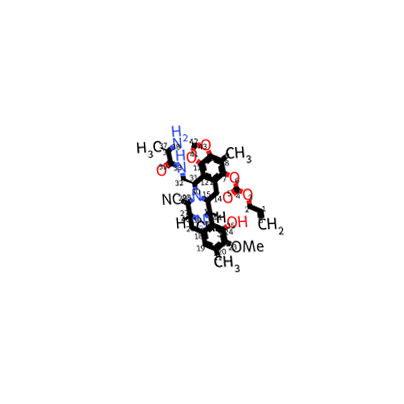 C=CCOC(=O)Oc1c(C)c2c(c3c1CC1[C@@H]4c5c(cc(C)c(OC)c5O)C[C@H](C(C#N)N1[C@H]3CNC(=O)[C@H](C)N)N4C)OCO2